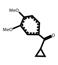 COc1ccc(C(=O)C2CC2)cc1OC